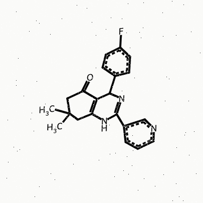 CC1(C)CC(=O)C2=C(C1)NC(c1cccnc1)=NC2c1ccc(F)cc1